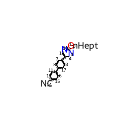 CCCCCCCOc1ncc(-c2ccc(-c3ccc(C#N)cc3)cc2)cn1